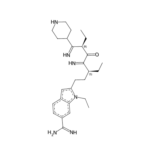 CC[C@@H](CCc1cc2ccc(C(=N)N)cc2n1CC)C(=N)C(=O)[C@H](CC)C(=N)C1CCNCC1